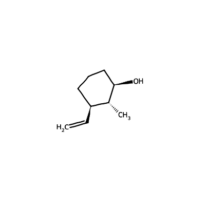 C=C[C@H]1CCC[C@@H](O)[C@@H]1C